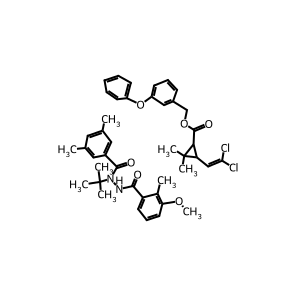 CC1(C)C(C=C(Cl)Cl)C1C(=O)OCc1cccc(Oc2ccccc2)c1.COc1cccc(C(=O)NN(C(=O)c2cc(C)cc(C)c2)C(C)(C)C)c1C